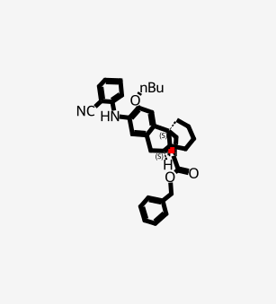 CCCCOc1cc2c(cc1Nc1ccccc1C#N)C[C@H]1[C@H]3CCCC[C@@]23CCN1C(=O)OCc1ccccc1